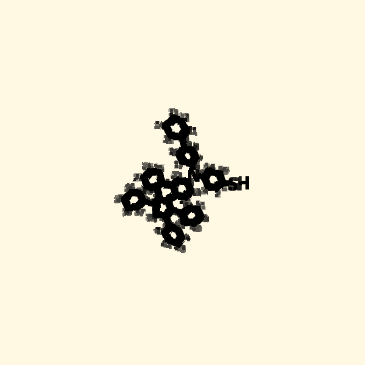 Sc1ccc(N(c2ccc(-c3ccccc3)cc2)c2ccc3c(c2)c2ccccc2c2c(-c4ccccc4)cc(-c4ccccc4)c(-c4ccccc4)c32)cc1